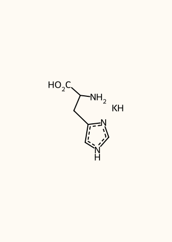 NC(Cc1c[nH]cn1)C(=O)O.[KH]